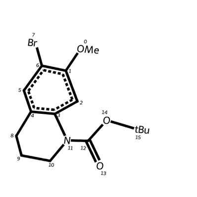 COc1cc2c(cc1Br)CCCN2C(=O)OC(C)(C)C